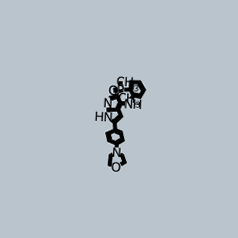 CP(C)(=O)c1ccccc1Nc1ccnc2[nH]c(-c3ccc(N4CCOCC4)cc3)cc12